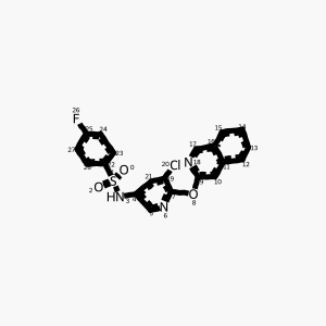 O=S(=O)(Nc1cnc(Oc2cc3ccccc3cn2)c(Cl)c1)c1ccc(F)cc1